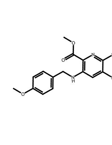 COC(=O)c1nc(Br)c(F)cc1NCc1ccc(OC)cc1